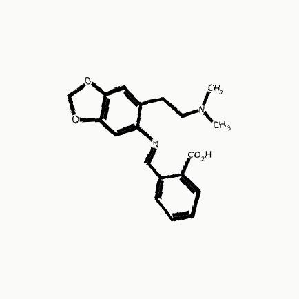 CN(C)CCc1cc2c(cc1N=Cc1ccccc1C(=O)O)OCO2